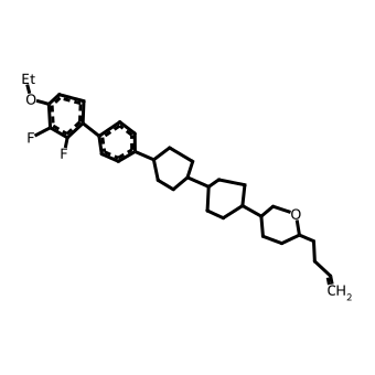 C=CCCC1CCC(C2CCC(C3CCC(c4ccc(-c5ccc(OCC)c(F)c5F)cc4)CC3)CC2)CO1